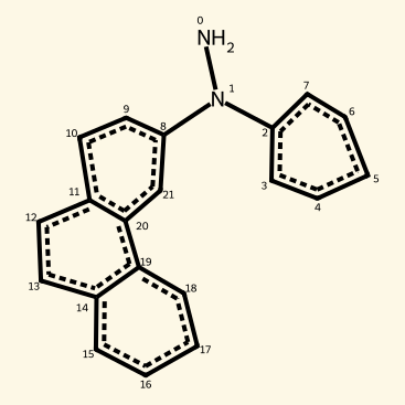 NN(c1ccccc1)c1ccc2ccc3ccccc3c2c1